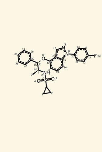 C[C@H](NS(=O)(=O)C1CC1)[C@@H](Oc1cccc2c1cnn2-c1ccc(F)cc1)c1ccccc1